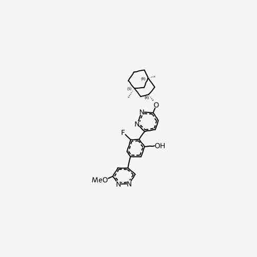 COc1cc(-c2cc(O)c(-c3ccc(O[C@H]4C[C@]5(C)CCC[C@](C)(C4)C5)nn3)c(F)c2)cnn1